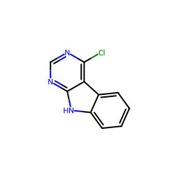 Clc1ncnc2[nH]c3ccccc3c12